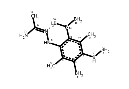 BBc1c(B)c(C)c(NN=C(C)N)c(B(B)B)c1C